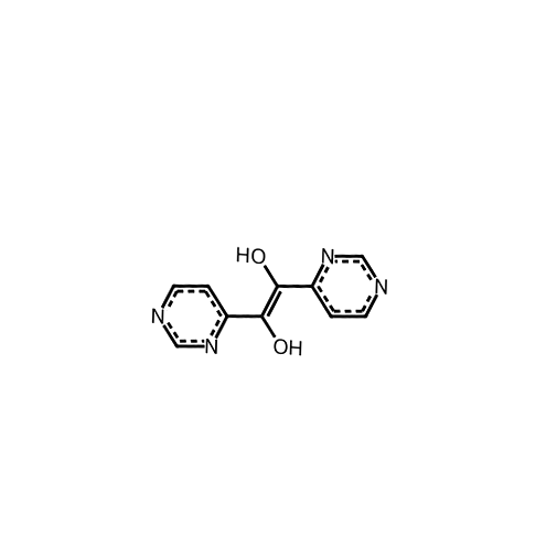 O/C(=C(/O)c1ccncn1)c1ccncn1